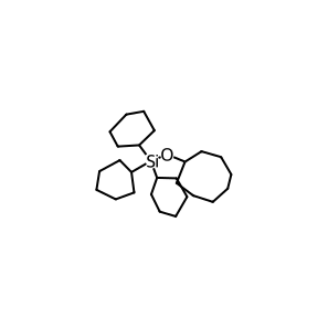 C1CCCC(O[Si](C2CCCCC2)(C2CCCCC2)C2CCCCC2)CCC1